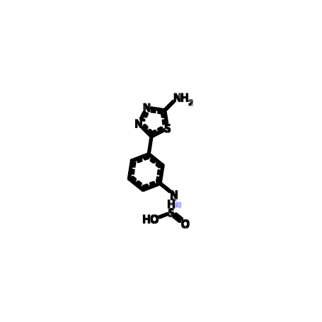 Nc1nnc(-c2cccc(/N=[SH](=O)\O)c2)s1